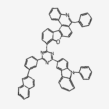 c1ccc(-c2nc3ccccc3c3c2ccc2oc4c(-c5nc(-c6cccc(-c7ccc8ccccc8c7)c6)nc(-c6ccc7c(c6)c6ccccc6n7-c6ccccc6)n5)cccc4c23)cc1